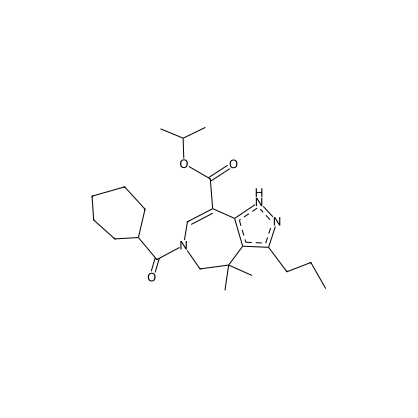 CCCc1n[nH]c2c1C(C)(C)CN(C(=O)C1CCCCC1)C=C2C(=O)OC(C)C